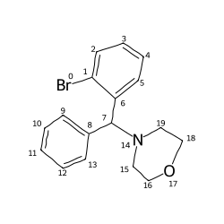 Brc1ccccc1C(c1ccccc1)N1CCOCC1